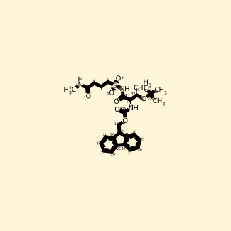 CNC(=O)CCCS(=O)(=O)NC(=O)[C@@H](NC(=O)OCC1c2ccccc2-c2ccccc21)[C@H](C)OC(C)(C)C